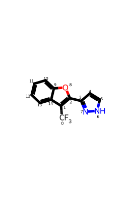 FC(F)(F)c1c(-c2cc[nH]n2)oc2ccccc12